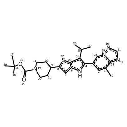 Cc1cc(-c2[nH]c3cc(C4CCN(C(=O)OC(C)(C)C)CC4)sc3c2C(C)C)cn2ncnc12